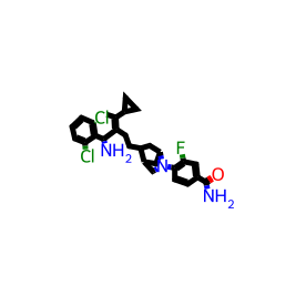 C/C(=C(/CCC1CC2CC1CN2c1ccc(C(N)=O)cc1F)C(N)c1c(Cl)cccc1Cl)C1CC1